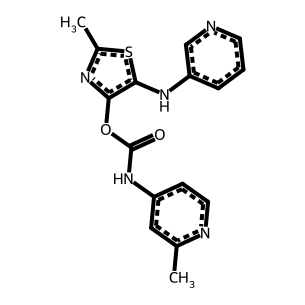 Cc1cc(NC(=O)Oc2nc(C)sc2Nc2cccnc2)ccn1